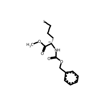 COC(=O)[C@H](CCCI)NC(=O)OCc1ccccc1